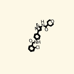 Cn1nc(-c2ccc(NC(=O)c3ccccc3Cl)cc2)cc1NC(=O)C1CCOCC1